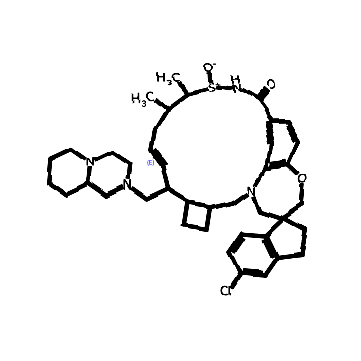 CC1C/C=C/C(CN2CCN3CCCCC3C2)C2CCC2CN2CC3(CCc4cc(Cl)ccc43)COc3ccc(cc32)C(=O)N[S+]([O-])C1C